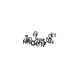 CCOc1cncc(-c2cnc(C(=O)N[C@H](c3cc(NS(=O)(=O)C4CC4)ccn3)[C@@H]3CCOC3)s2)n1